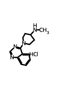 CNC1CCN(c2ncnc3ccccc23)CC1.Cl